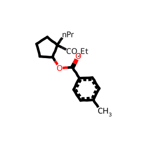 CCCC1(C(=O)OCC)CCCC1OC(=O)c1ccc(C)cc1